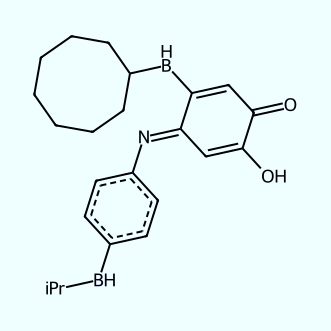 CC(C)Bc1ccc(/N=C2\C=C(O)C(=O)C=C2BC2CCCCCCC2)cc1